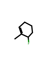 CC1=CCCCC1F